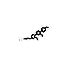 CCc1ccc(-c2ccc(-c3ccc(CCCCO)cc3CC)cc2CC)cc1